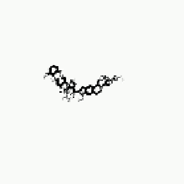 Cc1cc(Oc2c(F)cccc2F)ncc1-n1ncc(C(=O)c2cc3cc4c(cc3[nH]2)CCN(C2CN(C)C2)C4CO)c1N